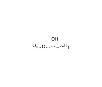 CCC(O)CO[C]=O